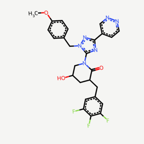 COc1ccc(Cn2nc(-c3ccnnc3)nc2N2CC(O)CC(Cc3cc(F)c(F)c(F)c3)C2=O)cc1